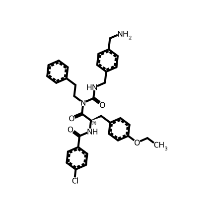 CCOc1ccc(C[C@@H](NC(=O)c2ccc(Cl)cc2)C(=O)N(CCc2ccccc2)C(=O)NCc2ccc(CN)cc2)cc1